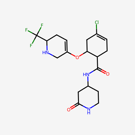 O=C1CC(NC(=O)C2CC=C(Cl)CC2OC2=CCC(C(F)(F)F)NC2)CCN1